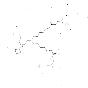 CCCCCCCCCCC(CCCCCC)CCC(=O)CCCCCCN(CCCCCCC(=O)OCC(CCCCCC)CCCCCCCCCC)CCN(CCO)C1CCC1